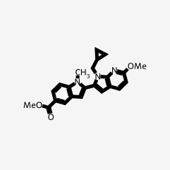 COC(=O)c1ccc2c(c1)cc(-c1cc3ccc(OC)nc3n1CC1CC1)n2C